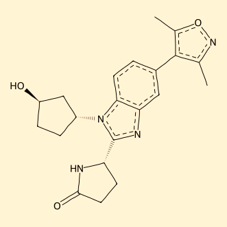 Cc1noc(C)c1-c1ccc2c(c1)nc([C@@H]1CCC(=O)N1)n2[C@@H]1CC[C@@H](O)C1